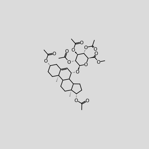 COC(=O)[C@H]1O[C@@H](O[C@H]2C=C3C[C@@H](OC(C)=O)CC[C@]3(C)C3CC[C@@]4(C)C(CC[C@@H]4OC(C)=O)C32)[C@H](OC(C)=O)[C@@H](OC(C)=O)[C@@H]1OC(C)=O